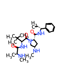 CC[C@@H](NC(=O)[C@@H]1C[C@H](NC)CN1C(=O)[C@@H](NC(=O)[C@H](C)NC)C(C)(C)C)c1ccccc1